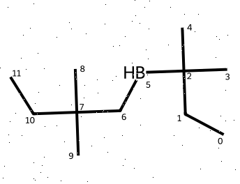 CCC(C)(C)BCC(C)(C)CC